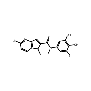 CN(C(=O)c1cc2nc(Cl)ccc2n1C)c1cc(O)c(O)c(O)c1